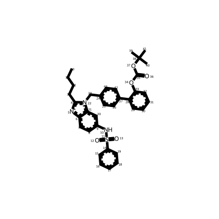 CCCCc1nc2ccc(NS(=O)(=O)c3ccccc3)cc2n1Cc1ccc(-c2ccccc2OC(=O)OC(C)(C)C)cc1